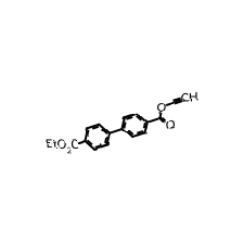 C#COC(=O)c1ccc(-c2ccc(C(=O)OCC)cc2)cc1